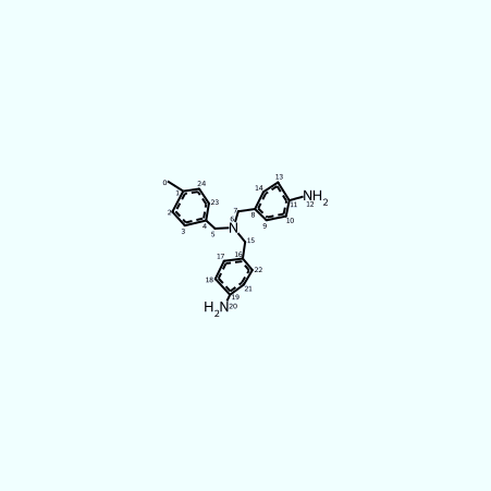 Cc1ccc(CN(Cc2ccc(N)cc2)Cc2ccc(N)cc2)cc1